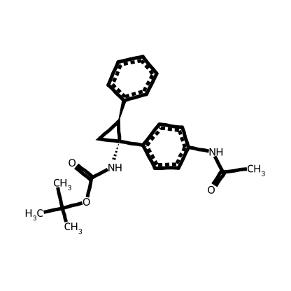 CC(=O)Nc1ccc([C@@]2(NC(=O)OC(C)(C)C)C[C@H]2c2ccccc2)cc1